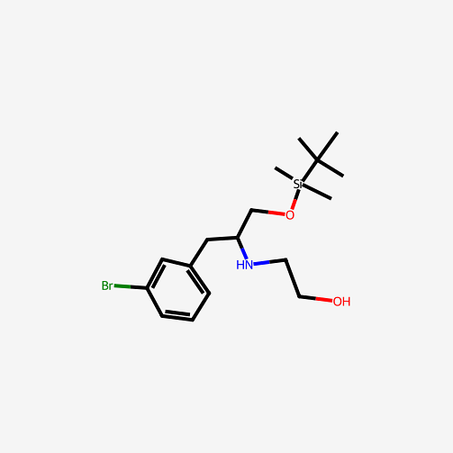 CC(C)(C)[Si](C)(C)OCC(Cc1cccc(Br)c1)NCCO